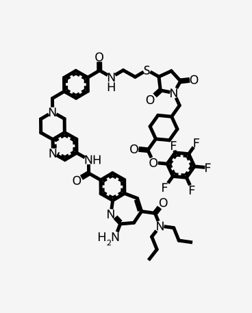 CCCN(CCC)C(=O)C1=Cc2ccc(C(=O)Nc3cnc4c(c3)CN(Cc3ccc(C(=O)NCCSC5CC(=O)N(CC6CCC(C(=O)Oc7c(F)c(F)c(F)c(F)c7F)CC6)C5=O)cc3)CC4)cc2N=C(N)C1